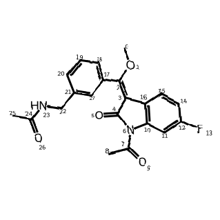 CO/C(=C1/C(=O)N(C(C)=O)c2cc(F)ccc21)c1cccc(CNC(C)=O)c1